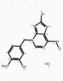 CCNc1ncn(Cc2ccc(OC)c(O)c2)c2nc(C(C)C)nc1-2.Cl